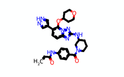 C=CC(=O)Nc1ccc(C(=O)N2CCCC(Nc3nc4ccc(-c5cn[nH]c5)c(OC5CCOCC5)n4n3)C2)cc1